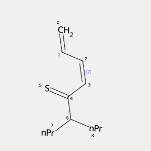 C=C/C=C\C(=S)C(CCC)CCC